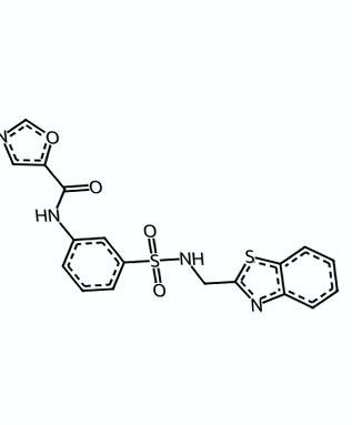 O=C(Nc1cccc(S(=O)(=O)NCc2nc3ccccc3s2)c1)c1cnco1